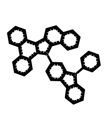 c1ccc(-n2c3ccccc3c3ccc(-n4c5c6ccccc6ccc5c5c6ccccc6c6ccccc6c54)cc32)cc1